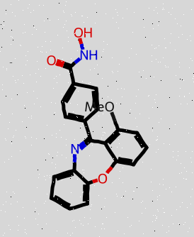 COc1cccc2c1C(c1ccc(C(=O)NO)cc1)=Nc1ccccc1O2